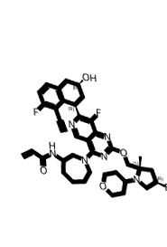 C#Cc1c(F)ccc2c1[C@H](c1ncc3c(N4CCCCC(NC(=O)C=C)C4)nc(OC[C@]4(C)C[C@@H](F)CN4C4CCOCC4)nc3c1F)C[C@@H](O)C2